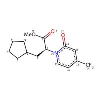 COC(=O)[C@H](CC1CCCC1)n1ccc(C(F)(F)F)cc1=O